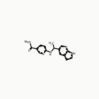 COC(=O)c1ccc(NC(C)c2cnc3[nH]ccc3c2)nc1